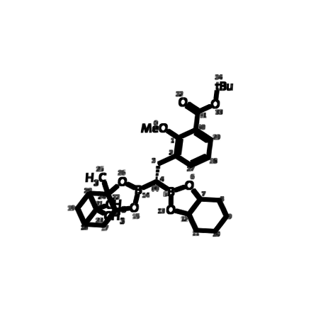 COc1c(C[C@H](B2OC3CCCCC3O2)B2OC3CC4CC(C4(C)C)C3(C)O2)cccc1C(=O)OC(C)(C)C